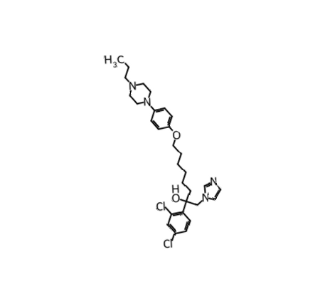 CCCN1CCN(c2ccc(OCCCCCCC(O)(Cn3ccnc3)c3ccc(Cl)cc3Cl)cc2)CC1